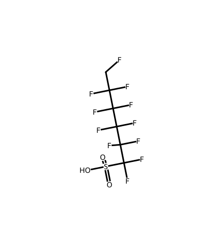 O=S(=O)(O)C(F)(F)C(F)(F)C(F)(F)C(F)(F)C(F)(F)CF